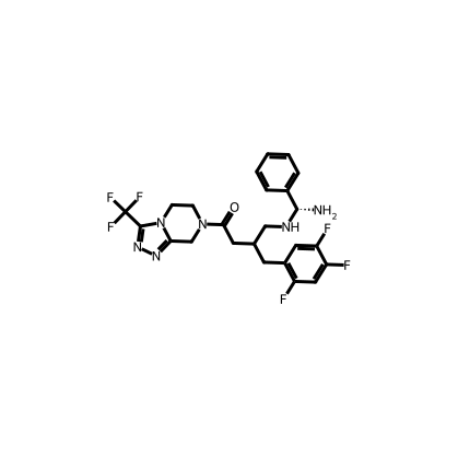 N[C@H](NCC(CC(=O)N1CCn2c(nnc2C(F)(F)F)C1)Cc1cc(F)c(F)cc1F)c1ccccc1